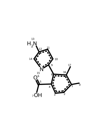 Cc1ccc(C(=O)O)c(-c2ccc(N)cn2)c1C